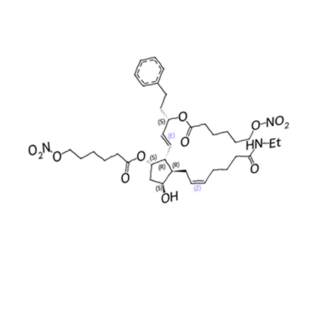 CCNC(=O)CCC/C=C\C[C@@H]1[C@@H](/C=C/[C@H](CCc2ccccc2)OC(=O)CCCCCO[N+](=O)[O-])[C@@H](OC(=O)CCCCCO[N+](=O)[O-])C[C@@H]1O